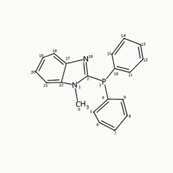 Cn1c(P(c2ccccc2)c2ccccc2)nc2ccccc21